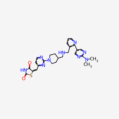 CN(C)c1ncc(-c2ncccc2CNCC2CCN(c3nccc(/C=C4/SC(=O)NC4=O)n3)CC2)cn1